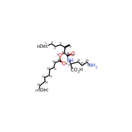 C=C(CCCCCCCCCCCCC)C(OC(=O)CCCCCCCCCCCCCCCCC)C(=O)NC(CCCN)C(=O)O